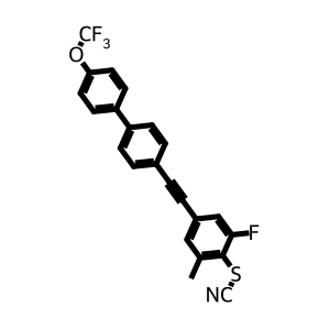 Cc1cc(C#Cc2ccc(-c3ccc(OC(F)(F)F)cc3)cc2)cc(F)c1SC#N